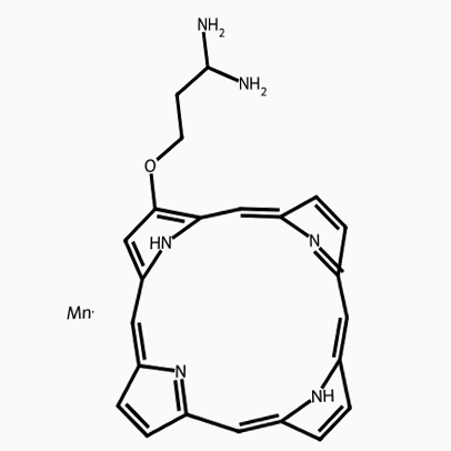 NC(N)CCOc1cc2cc3nc(cc4ccc(cc5nc(cc1[nH]2)C=C5)[nH]4)C=C3.[Mn]